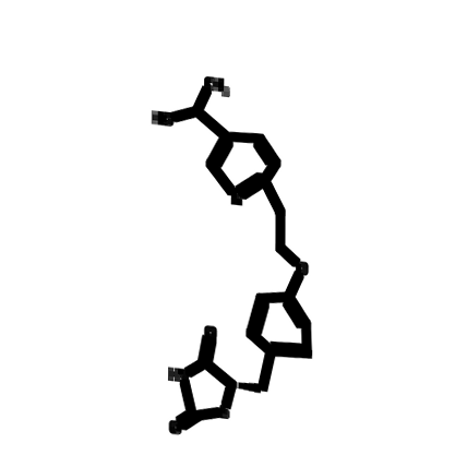 CC(O)c1ccc(CCOc2ccc(C[C@@H]3SC(=O)NC3=O)cc2)nc1